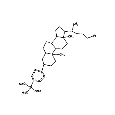 CO[Si](OC)(OC)c1ccc(C2CCC3(C)C(CCC4C3CCC3(C)C(C(C)CCCC(C)C)CCC43)C2)cc1